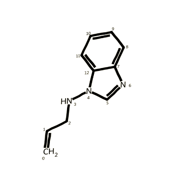 C=CCNn1cnc2ccccc21